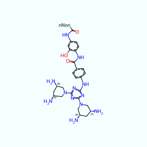 CCCCCCCCCC(=O)Nc1ccc(NC(=O)c2ccc(Nc3nc(N4C[C@H](N)C[C@H](N)C4)nc(N4C[C@H](N)C[C@H](N)C4)n3)cc2)c(O)c1